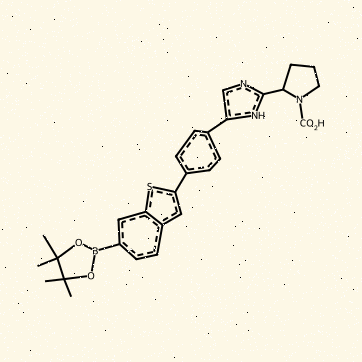 CC1(C)OB(c2ccc3cc(-c4ccc(-c5cnc(C6CCCN6C(=O)O)[nH]5)cc4)sc3c2)OC1(C)C